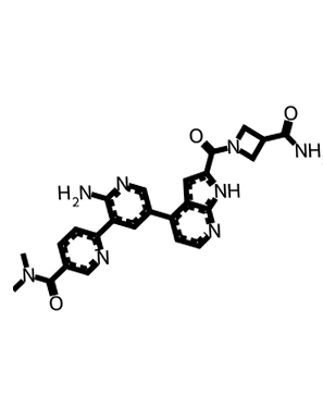 CN(C)C(=O)c1ccc(-c2cc(-c3ccnc4[nH]c(C(=O)N5CC(C(N)=O)C5)cc34)cnc2N)nc1